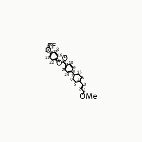 COCC=CC1CCC(c2ccc(C(=O)Oc3ccc(OC(F)(F)F)cc3)cc2)CC1